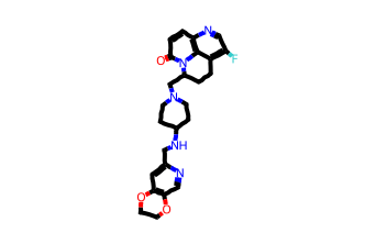 O=c1ccc2ncc(F)c3c2n1C(CN1CCC(NCc2cc4c(cn2)OCCO4)CC1)CC3